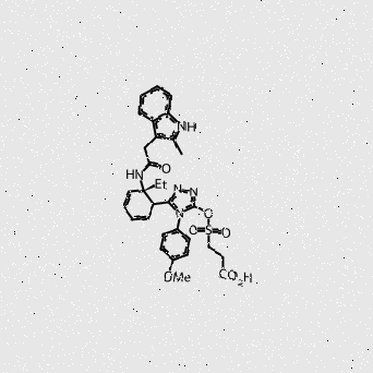 CC[C@]1(NC(=O)Cc2c(C)[nH]c3ccccc23)C=CC=CC1c1nnc(OS(=O)(=O)CCC(=O)O)n1-c1ccc(OC)cc1